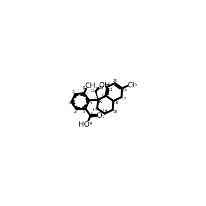 Cc1cccc(C(=O)O)c1[C@@]1(CO)CCCC2CC(Cl)=CC=C21